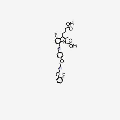 Cc1c(CCCC(=O)O)c2c(F)ccc(/C=C/c3ccc(OC/C=C/COc4ccccc4F)cc3)c2n1CC(=O)O